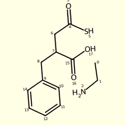 CCN.O=C(S)CC(Cc1ccccc1)C(=O)O